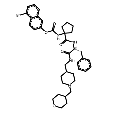 O=C(NC1(C(=O)N[C@H](Cc2ccccc2)C(=O)NCC2CCN(CC3CCOCC3)CC2)CCCC1)Oc1ccc2c(Br)cccc2c1